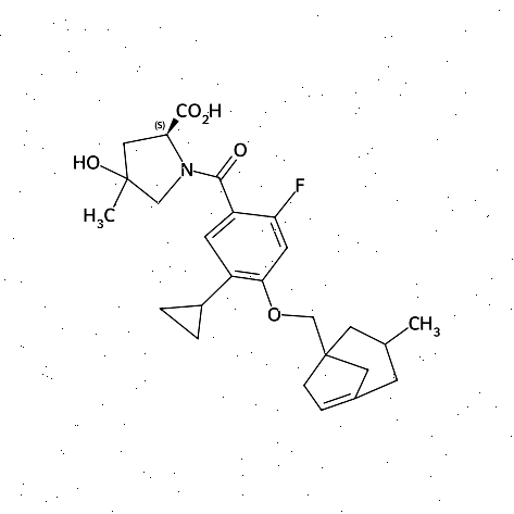 CC1CC2=CCC(COc3cc(F)c(C(=O)N4CC(C)(O)C[C@H]4C(=O)O)cc3C3CC3)(C2)C1